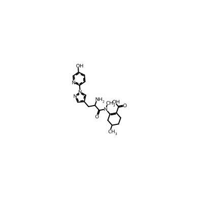 CC1CCC(C(=O)O)=C(N(C)C(=O)C(N)Cc2cnn(-c3ccc(O)cn3)c2)C1